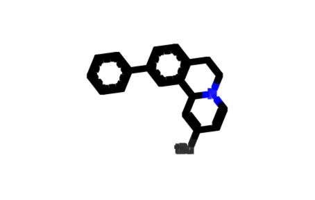 CC(C)(C)C1=CC2c3cc(-c4ccccc4)ccc3CCN2C=C1